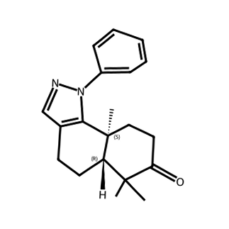 CC1(C)C(=O)CC[C@]2(C)c3c(cnn3-c3ccccc3)CC[C@@H]12